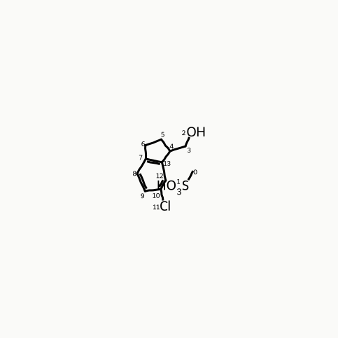 CS(=O)(=O)O.OCC1CCc2ccc(Cl)cc21